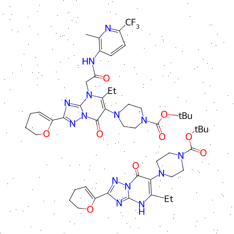 CCc1[nH]c2nc(C3=CCCCO3)nn2c(=O)c1N1CCN(C(=O)OC(C)(C)C)CC1.CCc1c(N2CCN(C(=O)OC(C)(C)C)CC2)c(=O)n2nc(C3=CCCCO3)nc2n1CC(=O)Nc1ccc(C(F)(F)F)nc1C